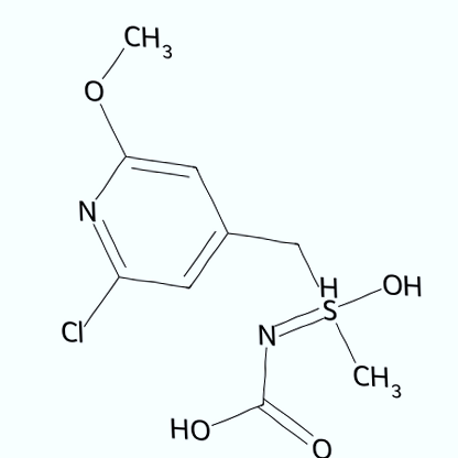 COc1cc(C[SH](C)(O)=NC(=O)O)cc(Cl)n1